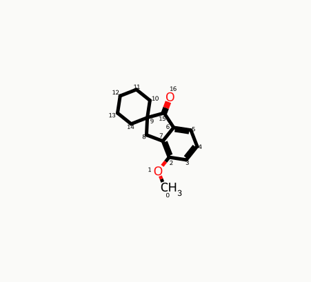 COc1cccc2c1CC1(CCCCC1)C2=O